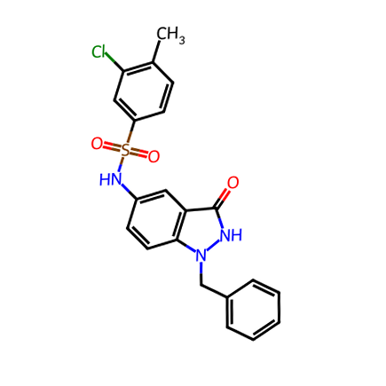 Cc1ccc(S(=O)(=O)Nc2ccc3c(c2)c(=O)[nH]n3Cc2ccccc2)cc1Cl